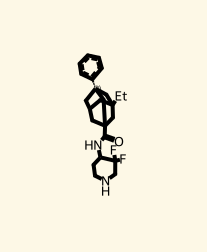 CCC12CC3CC(C(=O)NC4CCNCC4(F)F)(C1)C[C@@](c1ccccc1)(C3)C2